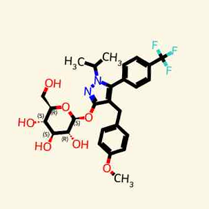 COc1ccc(Cc2c(O[C@@H]3O[C@H](CO)[C@@H](O)[C@H](O)[C@H]3O)nn(C(C)C)c2-c2ccc(C(F)(F)F)cc2)cc1